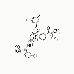 CCc1ccc2c(c1)[C@@H](NC[C@@H](O)CN(CCc1cc(F)cc(F)c1)S(=O)(=O)c1cccc(C(=O)N(C)C)c1)CS(O)(O)C2